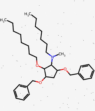 CCCCCCCCOC1C(OCc2ccccc2)CC(OCc2ccccc2)C1N(C)CCCCCCC